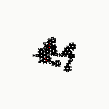 CCc1ccccc1-c1cc(O)c2ccccc2c1C(c1ccc(OCCN2CCOCC2)cc1)c1ccc(Cc2c(-c3cccc(Cl)c3CC)ccc3cc(O)ccc23)c(OC(C)N2CCC(C)C2)c1.Cc1ccccc1-c1ccc2cc(O)ccc2c1Cc1ccc(OCCCN2CCOCC2)cc1